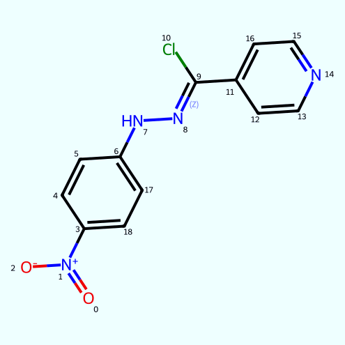 O=[N+]([O-])c1ccc(N/N=C(\Cl)c2ccncc2)cc1